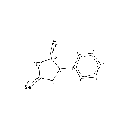 [Se]=C1CC(c2ccccc2)C(=[Se])O1